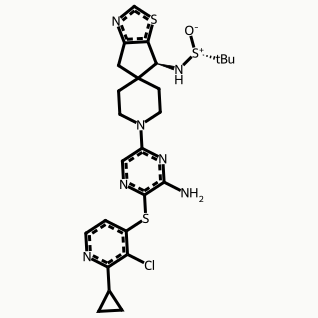 CC(C)(C)[S@@+]([O-])N[C@@H]1c2scnc2CC12CCN(c1cnc(Sc3ccnc(C4CC4)c3Cl)c(N)n1)CC2